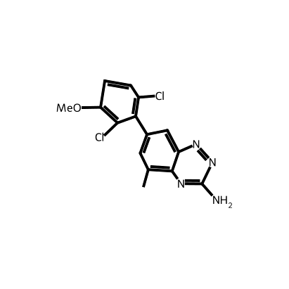 COc1ccc(Cl)c(-c2cc(C)c3nc(N)nnc3c2)c1Cl